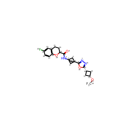 O=C(NC12CC(c3nnc([C@H]4C[C@@H](OC(F)(F)F)C4)o3)(C1)C2)C1CCc2cc(F)ccc2O1